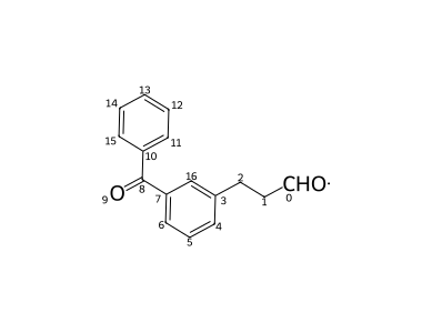 O=[C]CCc1cccc(C(=O)c2ccccc2)c1